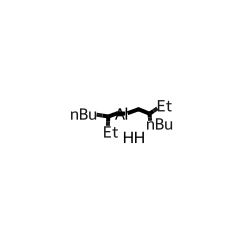 CCCCC(CC)[CH2][Al][CH2]C(CC)CCCC.[HH]